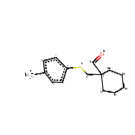 Cc1ccc(SCC2(C=O)CCCCC2)cc1